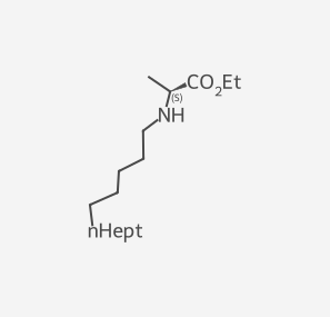 CCCCCCCCCCCCN[C@@H](C)C(=O)OCC